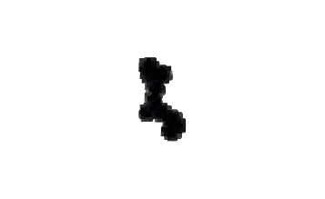 c1ccc(N(c2ccc(-c3ccc(-n4c5ccccc5c5c6ccccc6ccc54)cc3)cc2)c2ccc(-c3ccc4ccc5ccccc5c4c3)cc2)cc1